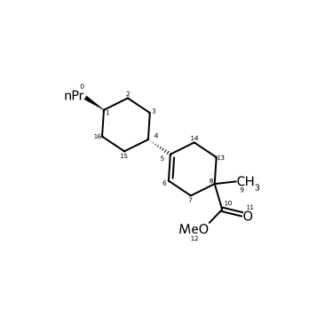 CCC[C@H]1CC[C@H](C2=CCC(C)(C(=O)OC)CC2)CC1